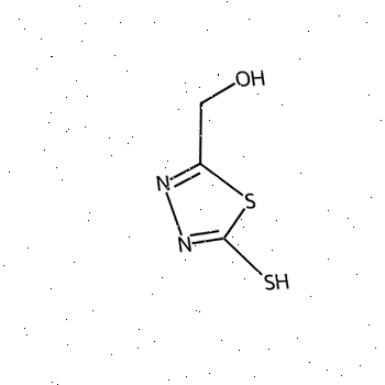 OCc1nnc(S)s1